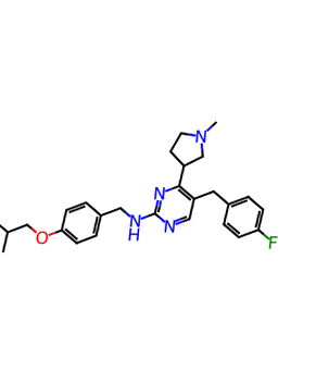 CC(C)COc1ccc(CNc2ncc(Cc3ccc(F)cc3)c(C3CCN(C)C3)n2)cc1